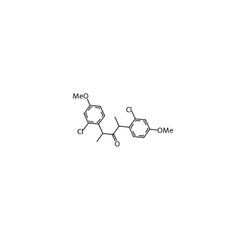 COc1ccc(C(C)C(=O)C(C)c2ccc(OC)cc2Cl)c(Cl)c1